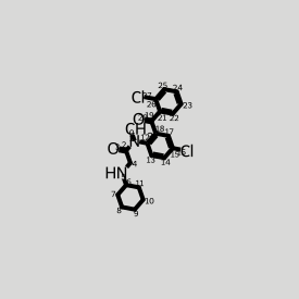 CN(C(=O)CNC1CCCCC1)c1ccc(Cl)cc1C(=O)c1ccccc1Cl